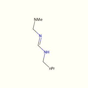 CCCCN/C=N/CNC